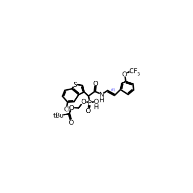 CC(C)(C)C(=O)OCOP(=O)(O)C(C(=O)N/C=C/c1cccc(OC(F)(F)F)c1)c1csc2ccc(Cl)cc12